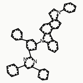 c1ccc(-c2cc(-c3nc(-c4ccccc4)cc(-c4ccccc4)n3)cc(-n3c4ccccc4c4c5ccc6c(ccn6-c6ccccc6)c5ccc43)c2)cc1